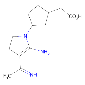 N=C(C1=C(N)N(C2CCC(CC(=O)O)C2)CC1)C(F)(F)F